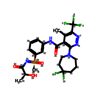 Cc1c(C(F)(F)F)nnc(N2CCCC(F)(F)CC2)c1C(=O)Nc1cccc([S@@](C)(=O)=NC(=O)[C@H](C)O)c1